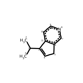 CC(C)C1=CCc2cnccc21